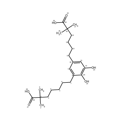 CC(C)(CCCCCc1cc(CCCCC(C)(C)C(=O)O)cc(O)c1O)C(=O)O